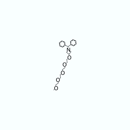 COCCOCCOCCOCCOC1CN(C(c2ccccc2)c2ccccc2)C1